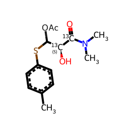 CC(=O)OC(Sc1ccc(C)cc1)[13C@H](O)[13C](=O)N(C)C